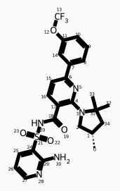 C[C@@H]1CN(c2nc(-c3cccc(OC(F)(F)F)c3)ccc2C(=O)NS(=O)(=O)c2cccnc2N)C(C)(C)C1